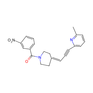 Cc1cccc(C#CC=C2CCN(C(=O)c3cccc([N+](=O)[O-])c3)CC2)n1